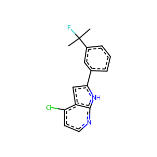 CC(C)(F)c1cccc(-c2cc3c(Cl)ccnc3[nH]2)c1